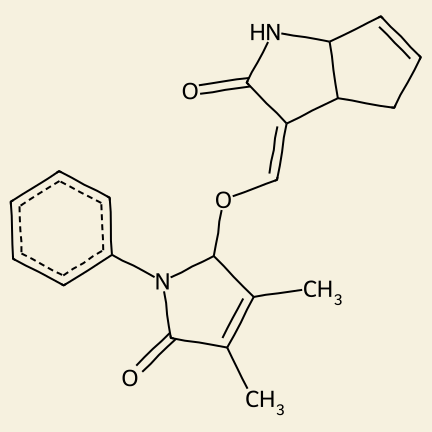 CC1=C(C)C(OC=C2C(=O)NC3C=CCC23)N(c2ccccc2)C1=O